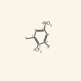 Cc1cc([N+](=O)[O-])cc(F)c1C(F)(F)F